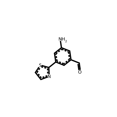 Nc1cc(C=O)cc(-c2nccs2)c1